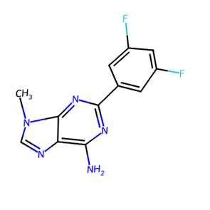 Cn1cnc2c(N)nc(-c3cc(F)cc(F)c3)nc21